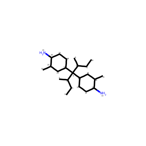 CCC(C)C(C(C)CC)(C1CCC(N)C(C)C1)C1CCC(N)C(C)C1